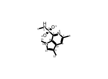 CNS(=O)(=O)c1nc(C)cc2c(C)cn(C)c12